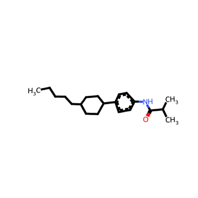 CCCCCC1CCC(c2ccc(NC(=O)C(C)C)cc2)CC1